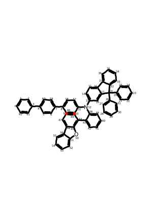 c1ccc(-c2ccc(-c3ccc(N(c4ccc5c(c4)C(c4ccccc4)(c4ccccc4)c4ccccc4-5)c4ccccc4-c4cccc5c4oc4ccccc45)cc3)cc2)cc1